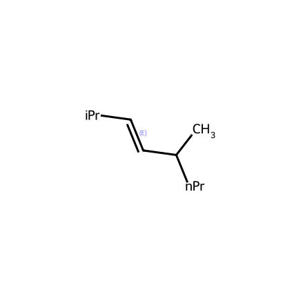 [CH2]C(C)/C=C/C(C)CCC